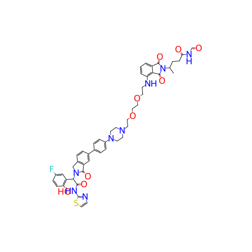 CC(CCC(=O)NC=O)N1C(=O)c2cccc(NCCOCCOCCN3CCN(c4ccc(-c5ccc6c(c5)C(=O)N(C(C(=O)Nc5nccs5)c5cc(F)ccc5O)C6)cc4)CC3)c2C1=O